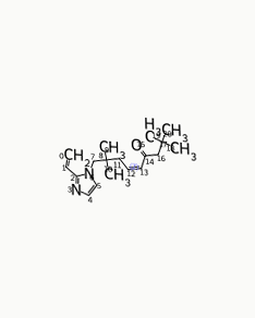 C=Cc1nccn1CC(C)(C)C/C=C\C(=O)CC(C)(C)C